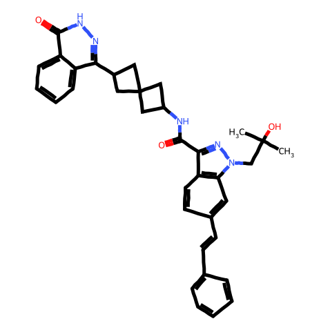 CC(C)(O)Cn1nc(C(=O)NC2CC3(C2)CC(c2n[nH]c(=O)c4ccccc24)C3)c2ccc(C=Cc3ccccc3)cc21